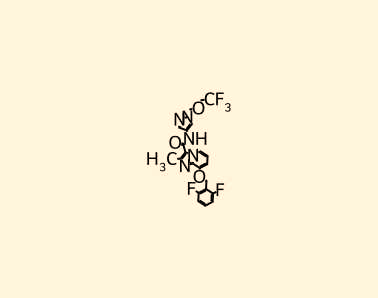 Cc1nc2c(OCc3c(F)cccc3F)cccn2c1C(=O)Nc1cnn(COCC(F)(F)F)c1